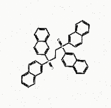 O=P(CCP(=O)(c1ccc2ccccc2c1)c1ccc2ccccc2c1)(c1ccc2ccccc2c1)c1ccc2ccccc2c1